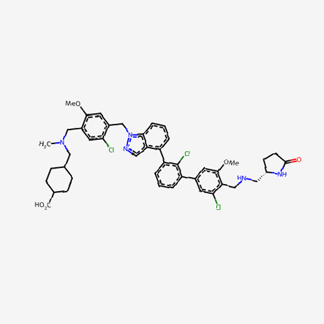 COc1cc(Cn2ncc3c(-c4cccc(-c5cc(Cl)c(CNC[C@@H]6CCC(=O)N6)c(OC)c5)c4Cl)cccc32)c(Cl)cc1CN(C)CC1CCC(C(=O)O)CC1